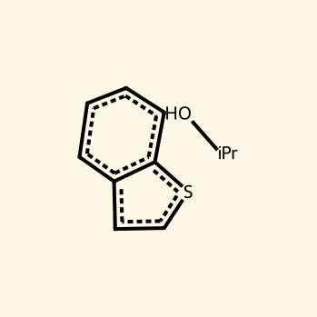 CC(C)O.c1ccc2sccc2c1